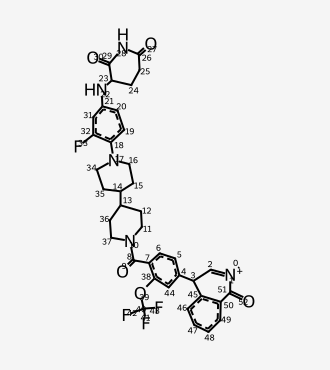 C[N+]1=CC(c2ccc(C(=O)N3CCC(C4CCN(c5ccc(NC6CCC(=O)NC6=O)cc5F)CC4)CC3)c(OC(F)(F)F)c2)c2ccccc2C1=O